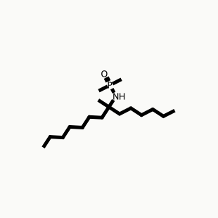 CCCCCCCC(C)(CCCCCC)NP(C)(C)=O